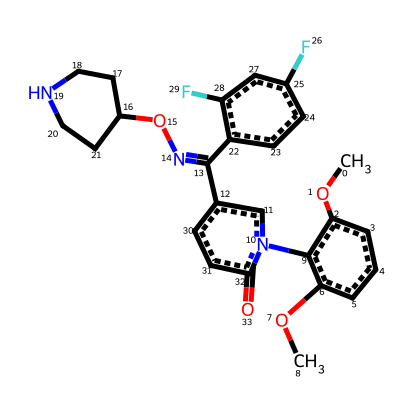 COc1cccc(OC)c1-n1cc(C(=NOC2CCNCC2)c2ccc(F)cc2F)ccc1=O